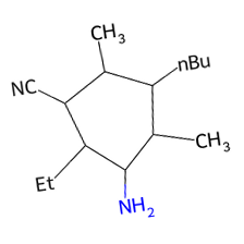 CCCCC1C(C)C(N)C(CC)C(C#N)C1C